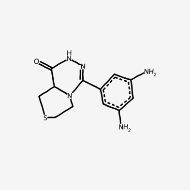 Nc1cc(N)cc(C2=NNC(=O)C3CSCCN23)c1